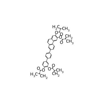 C=C(C)C(=O)Oc1ccc(-c2ccc(-c3ccc4c(ccc5cc(OC(=O)C(=C)C)c(OC(=O)C(=C)C)cc54)c3)cc2)cc1OC(=O)C(=C)C